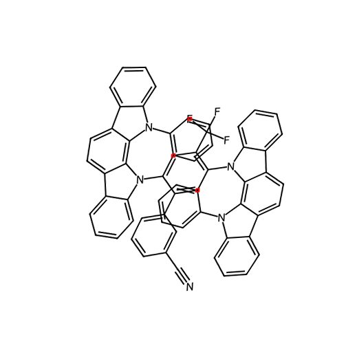 N#Cc1cccc(-c2cc(-n3c4ccccc4c4ccc5c6ccccc6n(-c6ccccc6)c5c43)c(C(F)(F)F)cc2-n2c3ccccc3c3ccc4c5ccccc5n(-c5ccccc5)c4c32)c1